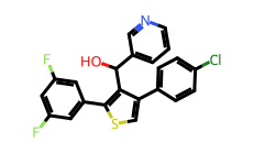 OC(c1cccnc1)c1c(-c2ccc(Cl)cc2)csc1-c1cc(F)cc(F)c1